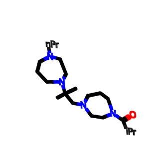 CCCN1CCCN(C(C)(C)CN2CCCN(C(=O)C(C)C)CC2)CC1